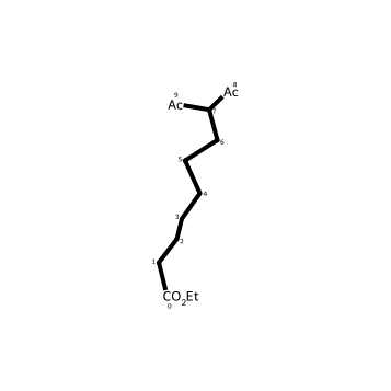 CCOC(=O)CCCCCCC(C(C)=O)C(C)=O